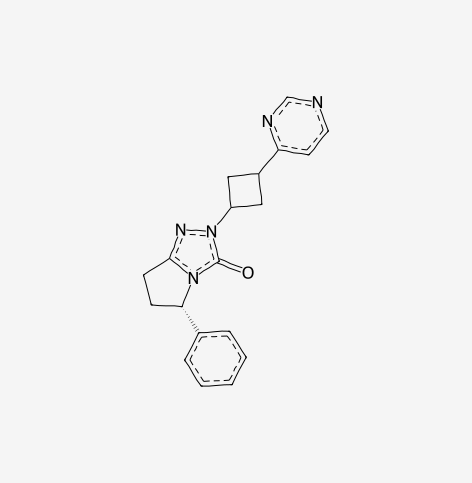 O=c1n(C2CC(c3ccncn3)C2)nc2n1[C@H](c1ccccc1)CC2